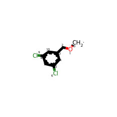 [CH2]OCc1cc(Cl)cc(Cl)c1